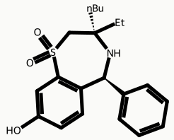 CCCC[C@@]1(CC)CS(=O)(=O)c2cc(O)ccc2[C@H](c2ccccc2)N1